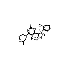 Cc1nc(C(C#N)S(=O)(=O)c2ccccc2Cl)c([N+](=O)[O-])c(N2CCOC(C)C2)n1